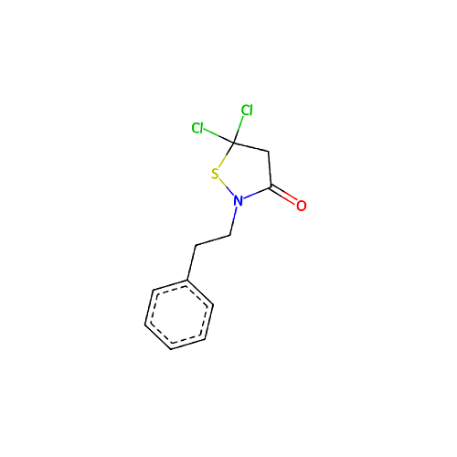 O=C1CC(Cl)(Cl)SN1CCc1ccccc1